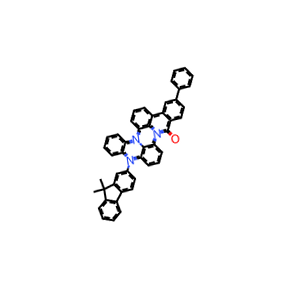 CC1(C)c2ccccc2-c2ccc(-n3c4cccc5c4-n(c4ccccc43)c3cccc4c6cc(-c7ccccc7)ccc6c(=O)n5c43)cc21